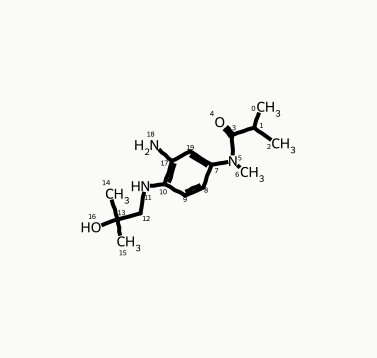 CC(C)C(=O)N(C)c1ccc(NCC(C)(C)O)c(N)c1